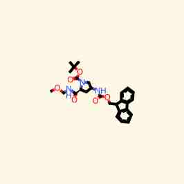 COCNC(=O)[C@@H]1CC(NC(=O)OCC2c3ccccc3-c3ccccc32)CN1C(=O)OC(C)(C)C